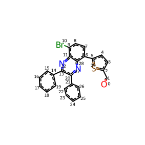 O=Cc1ccc(-c2ccc(Br)c3nc(-c4ccccc4)c(-c4ccccc4)nc23)s1